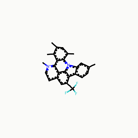 Cc1ccc2c3c(C(F)(F)F)cc4cc[n+](C)c5c6c(C)c(C)cc(C)c6n(c2c1)c3c45